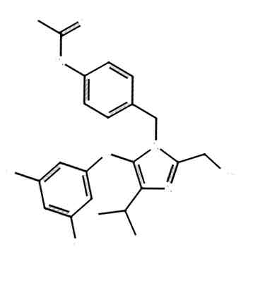 CC(=O)Nc1ccc(Cn2c(CO)nc(C(C)C)c2Sc2cc(Cl)cc(Cl)c2)cc1